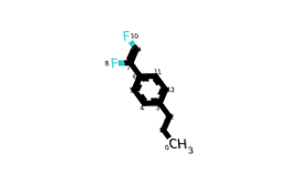 CCCc1ccc(C(F)=CF)cc1